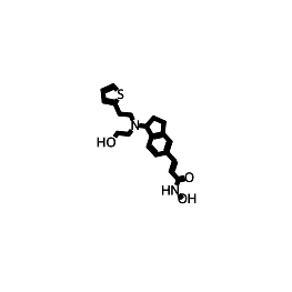 O=C(/C=C/c1ccc2c(c1)CCC2N(CCO)CCc1cccs1)NO